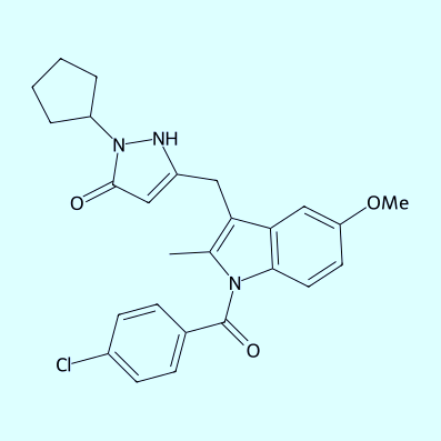 COc1ccc2c(c1)c(Cc1cc(=O)n(C3CCCC3)[nH]1)c(C)n2C(=O)c1ccc(Cl)cc1